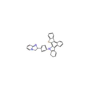 C1=CC2=NC(c3ccc(-n4c5c(c6c7ccccc7c7c8ccccc8sc7c64)C=CCC5)cc3)CN2C=C1